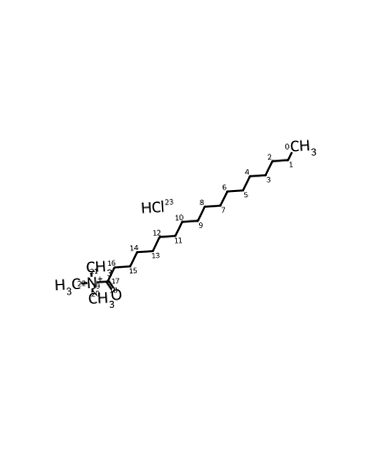 CCCCCCCCCCCCCCCCCC(=O)[N+](C)(C)C.Cl